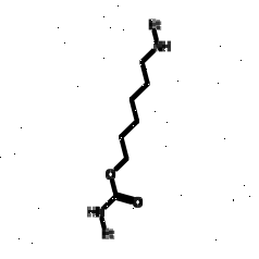 CCNCCCCCCOC(=O)NCC